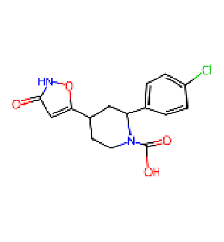 O=C(O)N1CCC(c2cc(=O)[nH]o2)CC1c1ccc(Cl)cc1